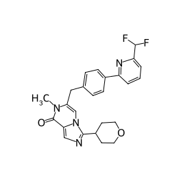 Cn1c(Cc2ccc(-c3cccc(C(F)F)n3)cc2)cn2c(C3CCOCC3)ncc2c1=O